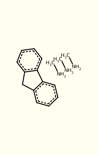 CN.CN.CN.c1ccc2c(c1)Cc1ccccc1-2